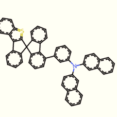 c1cc(-c2cccc3c2-c2ccccc2C32c3ccccc3-c3c2sc2ccccc32)cc(N(c2ccc3ccccc3c2)c2ccc3ccccc3c2)c1